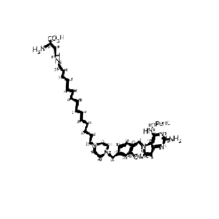 CCCCCNc1nc(N)nc2ccn(Cc3ccc(CN4CCN(CCCCCCCCCCCCCCCNCC[C@@H](N)C(=O)O)CC4)cc3OC)c12